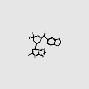 Cc1cc(C2CN(C(=O)c3ccc4c(c3)CCC4)CC(F)(F)C2)n2ncnc2n1